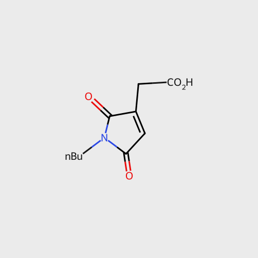 CCCCN1C(=O)C=C(CC(=O)O)C1=O